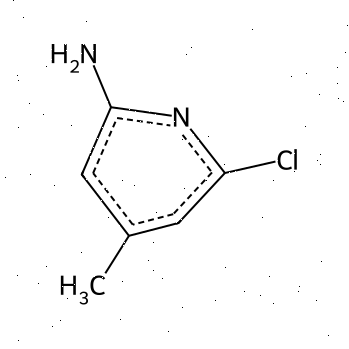 Cc1cc(N)nc(Cl)c1